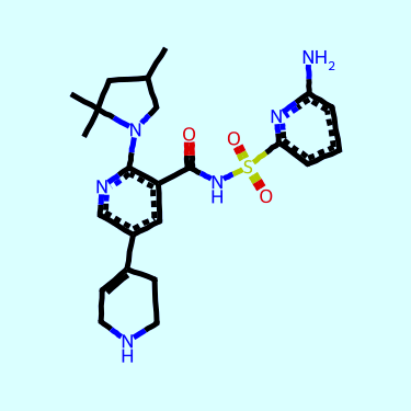 CC1CN(c2ncc(C3=CCNCC3)cc2C(=O)NS(=O)(=O)c2cccc(N)n2)C(C)(C)C1